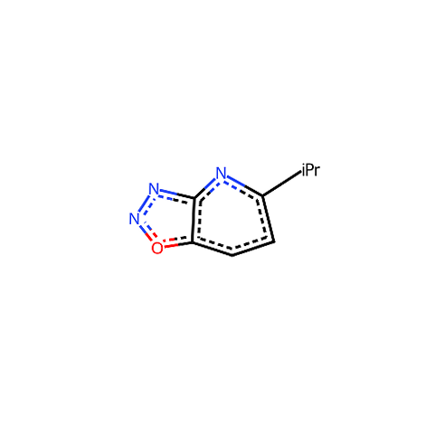 CC(C)c1ccc2onnc2n1